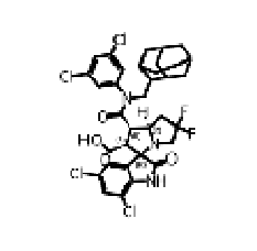 O=C(O)[C@H]1[C@@H](C(=O)N(CC2C3CC4CC(C3)CC2C4)c2cc(Cl)cc(Cl)c2)[C@H]2CC(F)(F)CN2[C@]12C(=O)Nc1c(Cl)cc(Cl)cc12